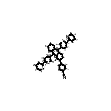 N#Cc1ccc(-c2ccc3c(-c4ccc(-c5ccccn5)nc4)c4ccccc4c(-c4ccc(-c5ccccn5)nc4)c3c2)cc1